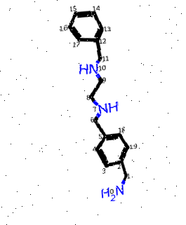 NCc1ccc(CNCCNCc2ccccc2)cc1